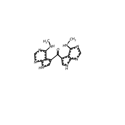 CNc1ncnc2[nH]cc(C(=O)c3c[nH]c4ncnc(NC)c34)c12